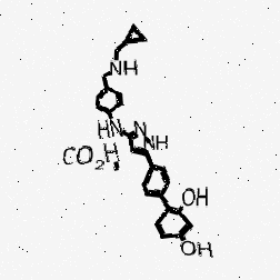 CC(=O)O.Oc1ccc(-c2ccc(-c3cc(Nc4ccc(CNCC5CC5)cc4)n[nH]3)cc2)c(O)c1